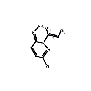 C/C=C(\C)n1nc(Cl)cc/c1=N/N